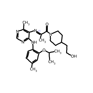 C/C(=N\c1c(C)ncnc1Nc1ccc(C)cc1OC(C)C)C(=O)N1CCC(CCO)CC1